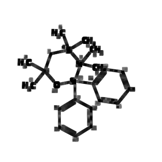 CC1(C)C[Si](C)(C)[Si](C)(C)[Si](c2ccccc2)(c2ccccc2)O1